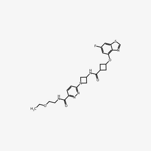 CCOCCNC(=O)c1ccc(N2CC(NC(=O)C3CC(Oc4cc(F)cc5scnc45)C3)C2)nn1